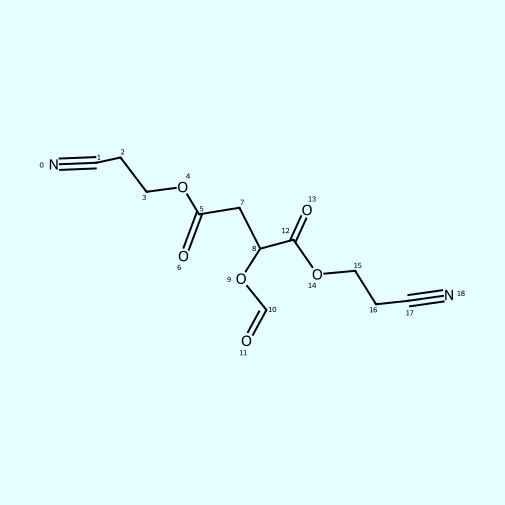 N#CCCOC(=O)CC(OC=O)C(=O)OCCC#N